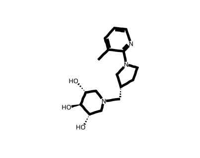 Cc1cccnc1N1CC[C@H](CN2C[C@@H](O)[C@H](O)[C@@H](O)C2)C1